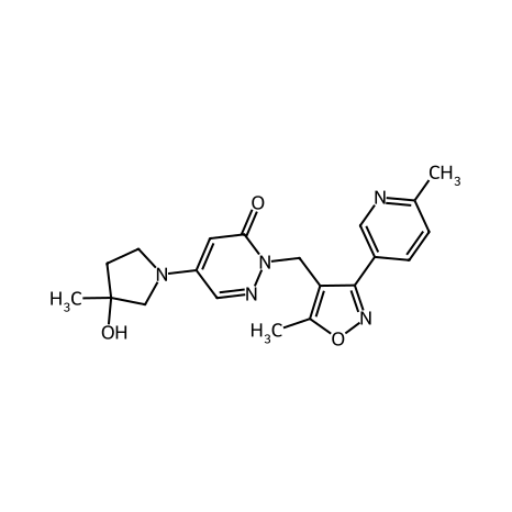 Cc1ccc(-c2noc(C)c2Cn2ncc(N3CCC(C)(O)C3)cc2=O)cn1